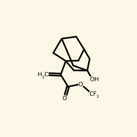 C=C(C(=O)OC(F)(F)F)C12CC3CC(CC(O)(C3)C1)C2